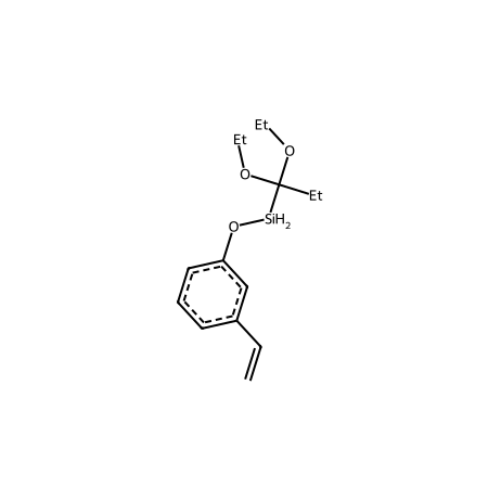 C=Cc1cccc(O[SiH2]C(CC)(OCC)OCC)c1